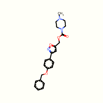 CN1CCN(C(=O)OCc2cc(-c3ccc(OCc4ccccc4)cc3)no2)CC1